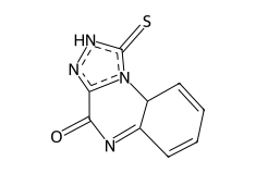 O=C1N=C2C=CC=CC2n2c1n[nH]c2=S